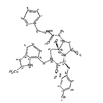 CCCN(C(=O)NCc1ccccc1)N1CC(=O)N2[C@@H](Cc3ccc(O)cc3)C(=O)N(Cc3cccc4c3NC(C)S4)C[C@@H]21